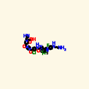 Cn1c(-c2cn(-c3ccc(NCCCN)cc3F)nc2C(F)(F)F)cnc1C(=O)Nc1ccc(C(=O)N2CCN(C(=O)C3CC[N+](CC(=O)O)(CC4CNC4)CC3)CC2)c(Cl)c1